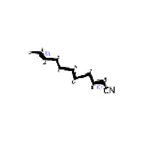 C/C=C/CCCCC/C=C/C#N